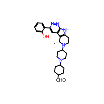 C[C@@H]1c2c([nH]c3nnc(-c4ccccc4O)cc23)CCN1C1CCN(C2CCC(C=O)CC2)CC1